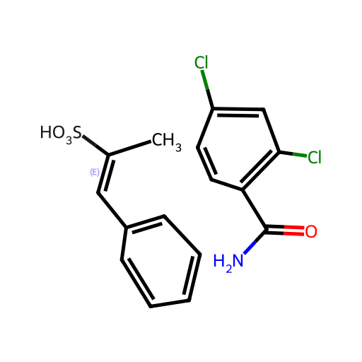 C/C(=C\c1ccccc1)S(=O)(=O)O.NC(=O)c1ccc(Cl)cc1Cl